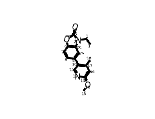 CCn1c(=O)oc2ccc(-c3cnc(OC)cc3C)cc21